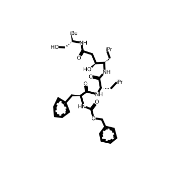 CC[C@H](C)[C@@H](CO)NC(=O)C[C@H](O)[C@H](CC(C)C)NC(=O)[C@H](CC(C)C)NC(=O)[C@H](Cc1ccccc1)NC(=O)OCc1ccccc1